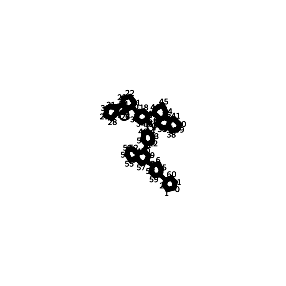 c1ccc(-c2ccc(-c3cc(-c4ccc(N(c5ccc(-c6cccc7c6oc6ccccc67)cc5)c5cc6ccccc6c6ccccc56)cc4)c4ccccc4c3)cc2)cc1